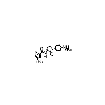 Cn1cc(C(C)(C)C)cc1C(=O)N[C@H]1CCN([C@H]2CC[C@H](NC(C)(C)C)CC2)C1=O